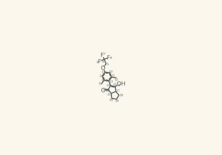 Cc1cc(OCC(F)(F)F)cc(C)c1C1=C(O)C2CCCC2C1=O